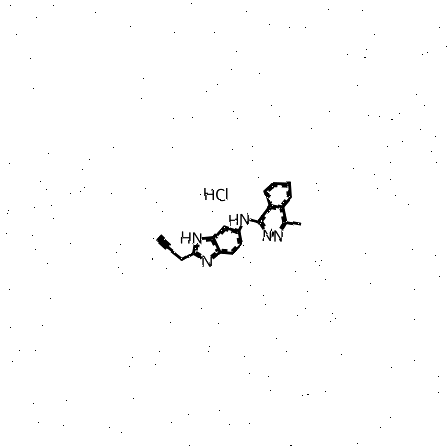 C#CCc1nc2ccc(Nc3nnc(C)c4ccccc34)cc2[nH]1.Cl